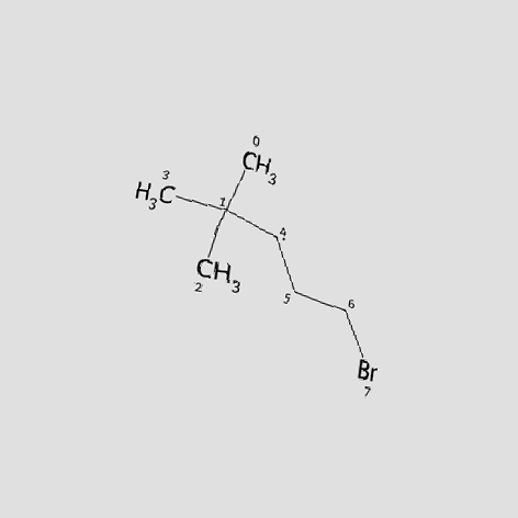 CC(C)(C)[CH]CCBr